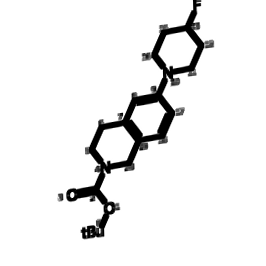 CC(C)(C)OC(=O)N1CCc2cc(N3CCC(F)CC3)ccc2C1